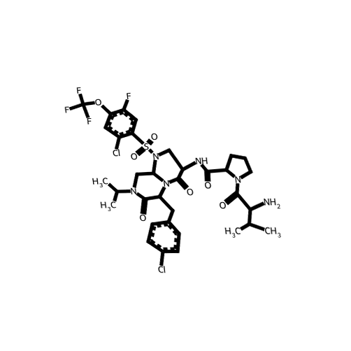 CC(C)C(N)C(=O)N1CCCC1C(=O)NC1CN(S(=O)(=O)c2cc(F)c(OC(F)(F)F)cc2Cl)C2CN(C(C)C)C(=O)C(Cc3ccc(Cl)cc3)N2C1=O